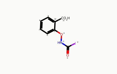 O=C(I)NOc1ccccc1C(=O)O